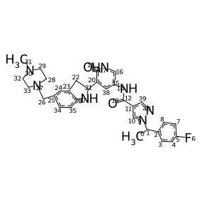 CC(c1ccc(F)cc1)n1cc(C(=O)Nc2c[nH]c(=O)c(C3Cc4cc(CN5CCN(C)CC5)ccc4N3)c2)cn1